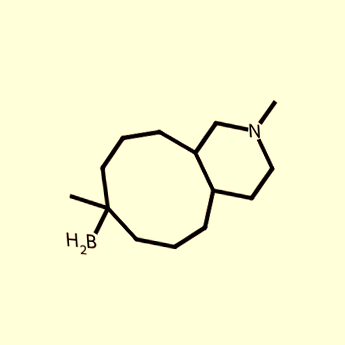 BC1(C)CCCC2CCN(C)CC2CCC1